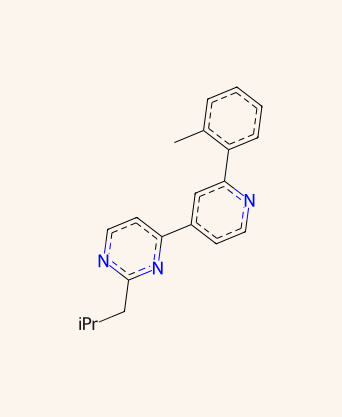 Cc1ccccc1-c1cc(-c2ccnc(CC(C)C)n2)ccn1